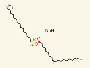 CCCCCCCC/C=C\CCCCCCCC(=O)OS(=O)(=O)CCCCCCCCCCCCCCCC.[NaH]